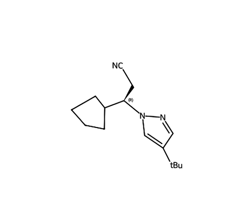 CC(C)(C)c1cnn([C@H](CC#N)C2CCCC2)c1